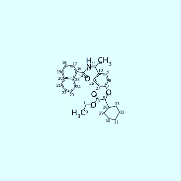 CCOC(=O)C(Oc1ccc(C(C)NC(=O)c2cccc3ccccc23)cc1)C1CCCCC1